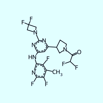 Cc1c(F)c(F)nc(Nc2cc(C3CCN(C(=O)C(F)F)C3)nc(N3CC(F)(F)C3)n2)c1F